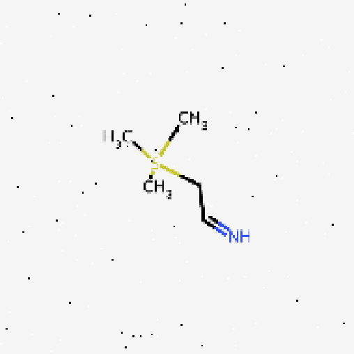 CS(C)(C)CC=N